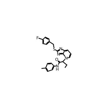 CCC(C(=O)Nc1ccc(C)cc1)n1cccc2nc(SCc3ccc(F)cc3)nc1-2